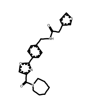 O=C(Cc1ccsc1)NCc1ccc(-c2nc(C(=O)N3CCCCCC3)co2)cc1